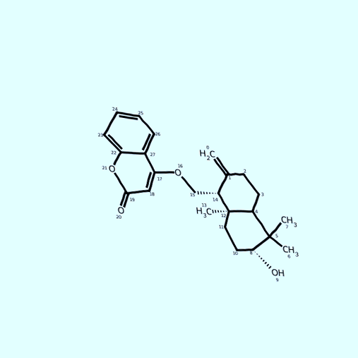 C=C1CCC2C(C)(C)[C@H](O)CC[C@@]2(C)[C@@H]1COc1cc(=O)oc2ccccc12